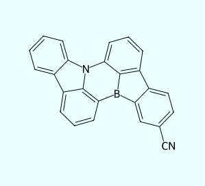 N#Cc1ccc2c(c1)B1c3c-2cccc3-n2c3ccccc3c3cccc1c32